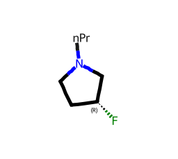 [CH2]CCN1CC[C@@H](F)C1